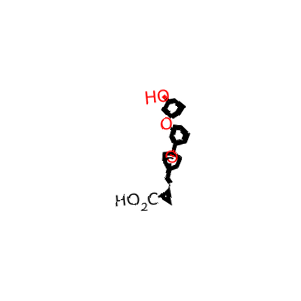 O=C(O)[C@@H]1C[C@H]1CCC12CCC(c3cccc(Oc4cccc(O)c4)c3)(CC1)OC2